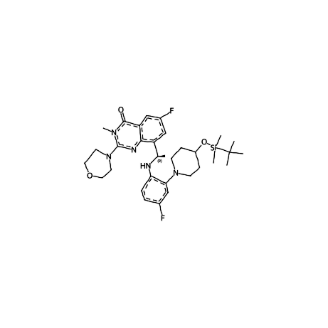 C[C@@H](Nc1ccc(F)cc1N1CCC(O[Si](C)(C)C(C)(C)C)CC1)c1cc(F)cc2c(=O)n(C)c(N3CCOCC3)nc12